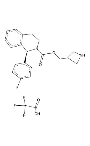 O=C(O)C(F)(F)F.O=C(OCC1CNC1)N1CCc2ccccc2[C@@H]1c1ccc(F)cc1